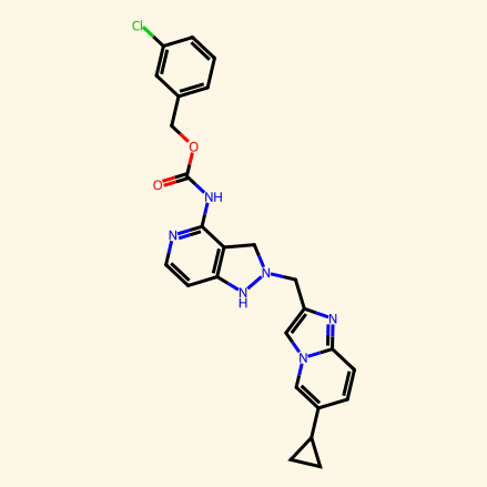 O=C(Nc1nccc2c1CN(Cc1cn3cc(C4CC4)ccc3n1)N2)OCc1cccc(Cl)c1